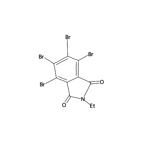 CCN1C(=O)c2c(Br)c(Br)c(Br)c(Br)c2C1=O